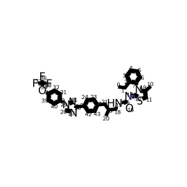 CCc1ccccc1-n1c(C)cs/c1=N\C(=O)NCC(C)Cc1ccc(-c2ncn(-c3ccc(OC(F)(F)F)cc3)n2)cc1